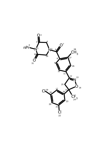 CCCN1C(=O)CN(C(=O)c2ccc(C3=NOC(c4cc(Cl)cc(Cl)c4)(C(F)(F)F)C3)cc2C)CC1=O